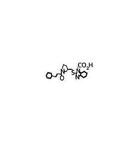 O=C(O)Cn1c(SCC2CCCN(C(=O)C=Cc3ccccc3)C2)nc2ccccc21